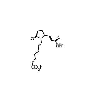 CCCC(=O)C=CC1CCC(=O)C1CCCCCCC(=O)O